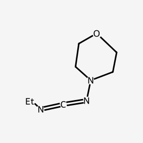 CCN=C=NN1CCOCC1